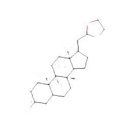 C[C@]12CCC(O)CC1CC[C@@H]1[C@H]2CC[C@]2(C)C(CC3OCCO3)CC[C@@]12O